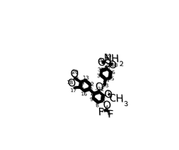 COc1c(OC(F)F)ccc(-c2ccc3c(c2)COC3=O)c1OCc1ccc(S(N)(=O)=O)cc1